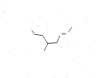 CONCC(C)CCN